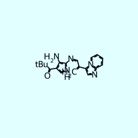 C=C(/C=N\c1[nH]cc(C(=O)C(C)(C)C)c1N)c1cnc2ccccn12